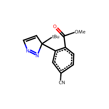 COC(=O)c1ccc(C#N)cc1C1(C(C)(C)C)C=CN=N1